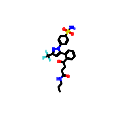 CCCNC(=O)CCC(=O)c1ccccc1-c1cc(C(F)(F)F)nn1-c1ccc(S(N)(=O)=O)cc1